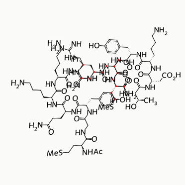 CSCC[C@H](NC(C)=O)C(=O)NCC(=O)N[C@@H](Cc1ccc(O)cc1)C(=O)N[C@@H](CCC(N)=O)C(=O)N[C@@H](CCCCN)C(=O)N[C@@H](CCCCN)C(=O)N[C@@H](CC(C)C)C(=O)N[C@@H](CCCNC(=N)N)C(=O)N[C@@H](CO)C(=O)N[C@@H](CCSC)C(=O)N[C@H](C(=O)N[C@@H](CC(=O)O)C(=O)N[C@@H](CCCCN)C(=O)N[C@@H](Cc1ccc(O)cc1)C(=O)N[C@@H](CNCNC(=N)N)C(=O)N[C@@H](CC(C)C)C(N)=O)[C@@H](C)O